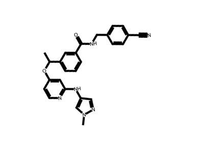 CC(Oc1ccnc(Nc2cnn(C)c2)c1)c1cccc(C(=O)NCc2ccc(C#N)cc2)c1